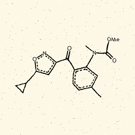 COC(=O)N(C)c1cc(C)ccc1C(=O)c1cc(C2CC2)on1